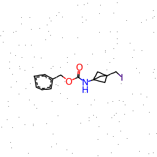 O=C(NC12CC(CI)(C1)C2)OCc1ccccc1